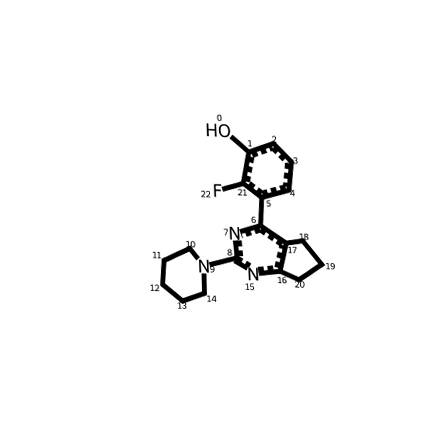 Oc1cccc(-c2nc(N3CCCCC3)nc3c2CCC3)c1F